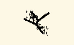 CCCCCCCC/C=C/CCCCCCCC[N+](C)(CCCC[N+](C)(CCCCCCCC/C=C/CCCCCCCC)CCCNC(=O)C(CCCNCCCN)NCCCN)CCCNC(=O)C(CCCNCCCN)NCCCN